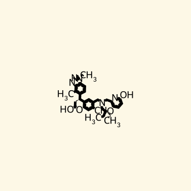 Cc1ccc([C@H](CC(=O)O)c2ccc3c(nnn3C)c2C)cc1CN1Cc2nc(O)ccc2OC(C(C)C)C1